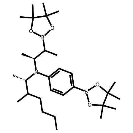 CCCCC(C)[C@H](C)N(c1ccc(B2OC(C)(C)C(C)(C)O2)cc1)[C@@H](C)C(C)B1OC(C)(C)C(C)(C)O1